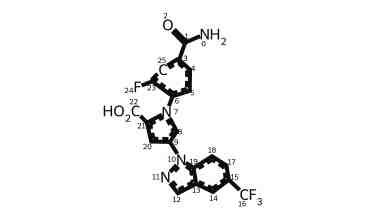 NC(=O)c1ccc(-n2cc(-n3ncc4cc(C(F)(F)F)ccc43)cc2C(=O)O)c(F)c1